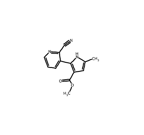 COC(=O)c1cc(C)[nH]c1-c1cccnc1C#N